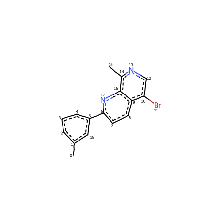 Cc1cccc(-c2ccc3c(Br)cnc(C)c3n2)c1